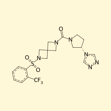 O=C(N1CC[C@H](n2cnnc2)C1)N1CC2(C1)CN(S(=O)(=O)c1ccccc1C(F)(F)F)C2